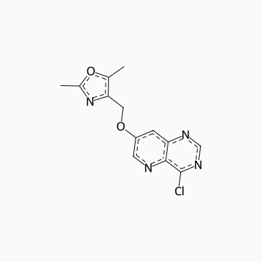 Cc1nc(COc2cnc3c(Cl)ncnc3c2)c(C)o1